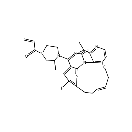 C=CC(=O)N1CCN(c2nc(=O)n3c4nc(c(F)cc24)CC/C=C/CCc2ccnc(C(C)C)c2-3)[C@@H](C)C1